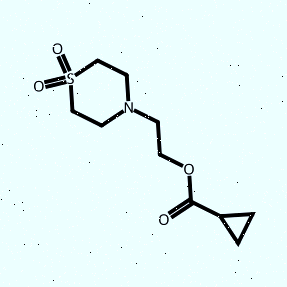 O=C(OCCN1CCS(=O)(=O)CC1)C1CC1